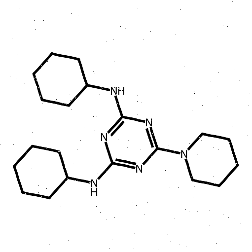 C1CCC(Nc2nc(NC3CCCCC3)nc(N3CCCCC3)n2)CC1